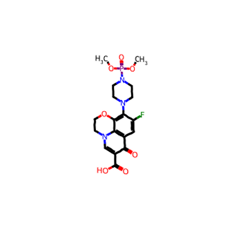 COP(=O)(OC)N1CCN(c2c(F)cc3c(=O)c(C(=O)O)cn4c3c2OCC4)CC1